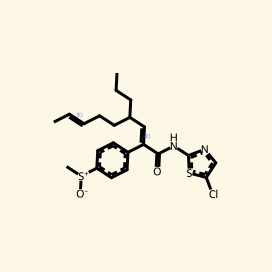 C/C=C/CCC(/C=C(/C(=O)Nc1ncc(Cl)s1)c1ccc([S+](C)[O-])cc1)CCC